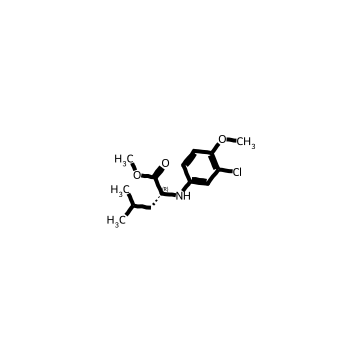 COC(=O)[C@@H](CC(C)C)Nc1ccc(OC)c(Cl)c1